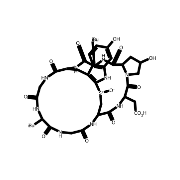 CCC(C)C1NC(=O)CNC(=O)C2Cc3c([nH]c4cc(O)ccc34)[S+]([O-])CC(NC(=O)CNC1=O)C(=O)NC(CC(=O)O)C(=O)N1CC(O)CC1C(=O)NC(C(C)CC)C(=O)N2